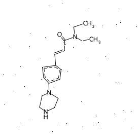 CCN(CC)C(=O)C=Cc1ccc(N2CCNCC2)cc1